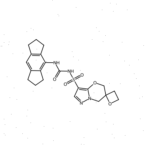 O=C(Nc1c2c(cc3c1CCC3)CCC2)NS(=O)(=O)c1cnn2c1OCC1(CCO1)C2